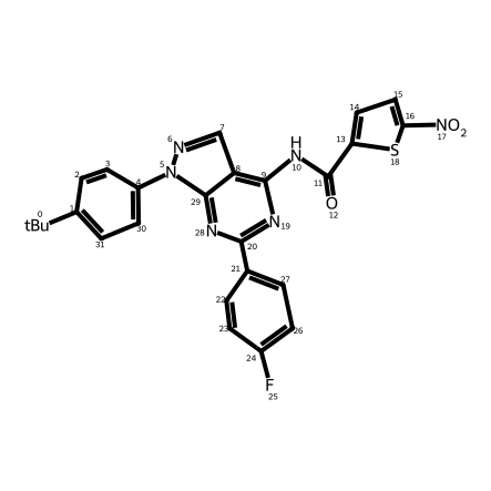 CC(C)(C)c1ccc(-n2ncc3c(NC(=O)c4ccc([N+](=O)[O-])s4)nc(-c4ccc(F)cc4)nc32)cc1